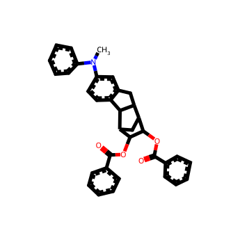 CN(c1ccccc1)c1ccc2c(c1)CC1C3CC(C(OC(=O)c4ccccc4)C3OC(=O)c3ccccc3)C21